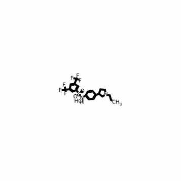 CCCN1CCC(c2ccc(NS(=O)(=O)c3cc(C(F)(F)F)cc(C(F)(F)F)c3)cc2)C1.Cl